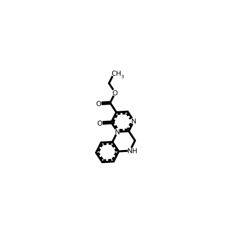 CCOC(=O)c1cnc2n(c1=O)-c1ccccc1NC2